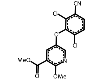 COC(=O)c1cc(Oc2c(Cl)ccc(C#N)c2Cl)cnc1OC